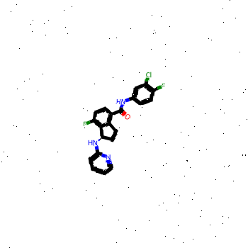 O=C(Nc1ccc(F)c(Cl)c1)c1ccc(F)c2c1CC[C@@H]2Nc1ccccn1